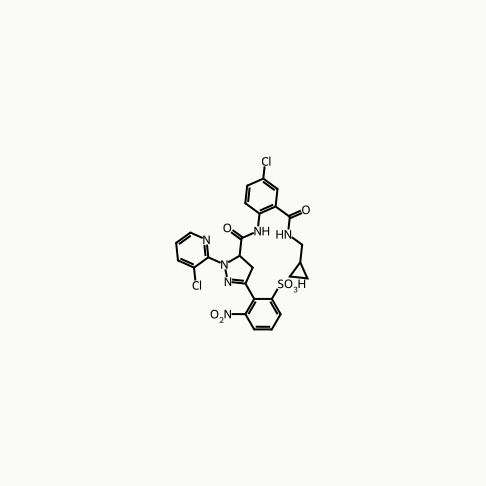 O=C(NCC1CC1)c1cc(Cl)ccc1NC(=O)C1CC(c2c([N+](=O)[O-])cccc2S(=O)(=O)O)=NN1c1ncccc1Cl